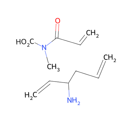 C=CC(=O)N(C)C(=O)O.C=CCC(N)C=C